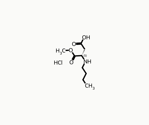 CCCCN[C@@H](CC(=O)O)C(=O)OC.Cl